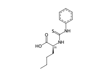 CCCC[C@H](NC(=S)Nc1ccccc1)C(=O)O